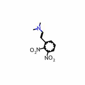 CN(C)C=Cc1cccc([N+](=O)[O-])c1[N+](=O)[O-]